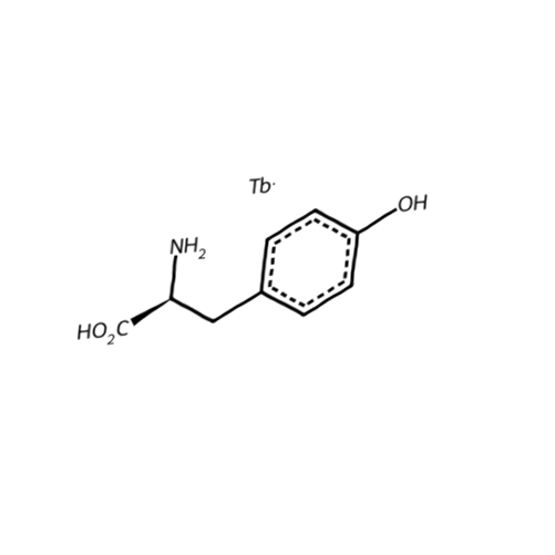 N[C@@H](Cc1ccc(O)cc1)C(=O)O.[Tb]